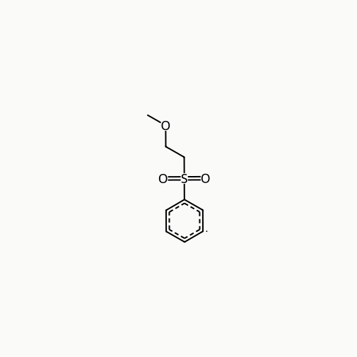 COCCS(=O)(=O)c1c[c]ccc1